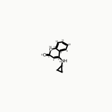 O=c1cc(NC2CC2)c2ccccc2o1